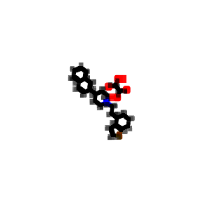 O=C(O)C(=O)O.c1ccc2cc(C3CCN(CCC4CCCc5sccc54)CC3)ccc2c1